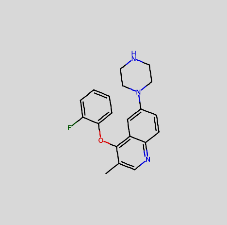 Cc1cnc2ccc(N3CCNCC3)cc2c1Oc1ccccc1F